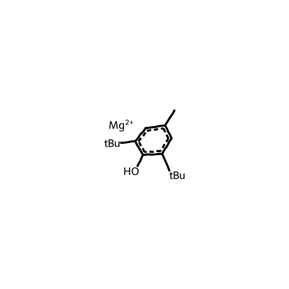 Cc1cc(C(C)(C)C)c(O)c(C(C)(C)C)c1.[Mg+2]